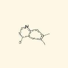 Cc1cc2ncnc(Cl)c2cc1C